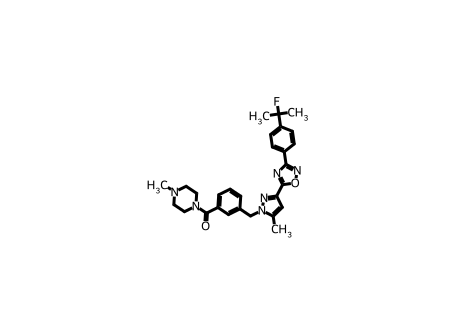 Cc1cc(-c2nc(-c3ccc(C(C)(C)F)cc3)no2)nn1Cc1cccc(C(=O)N2CCN(C)CC2)c1